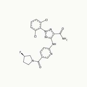 NC(=O)c1nn(-c2c(Cl)cccc2Cl)nc1Nc1ccc(C(=O)N2CC[C@@H](F)C2)cn1